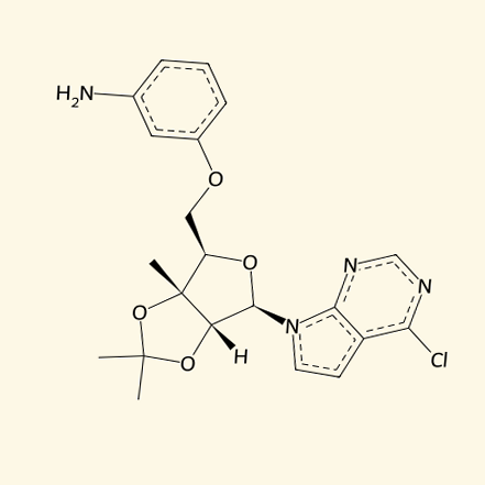 CC1(C)O[C@H]2[C@H](n3ccc4c(Cl)ncnc43)O[C@H](COc3cccc(N)c3)[C@@]2(C)O1